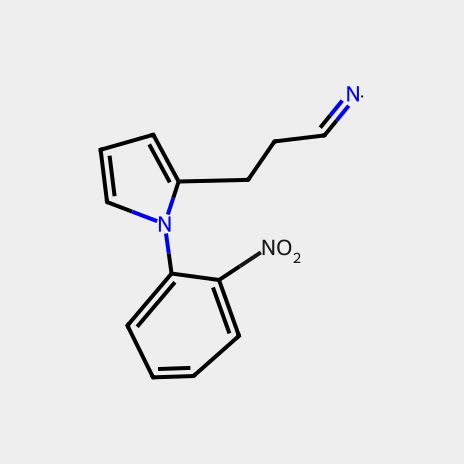 [N]=CCCc1cccn1-c1ccccc1[N+](=O)[O-]